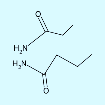 CCC(N)=O.CCCC(N)=O